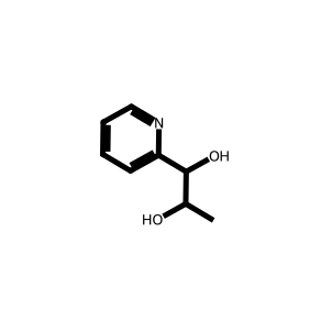 CC(O)C(O)c1ccccn1